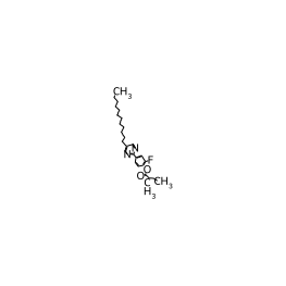 CCCCCCCCCCCCc1cnc(-c2ccc(OC(=O)C(C)CC)c(F)c2)nc1